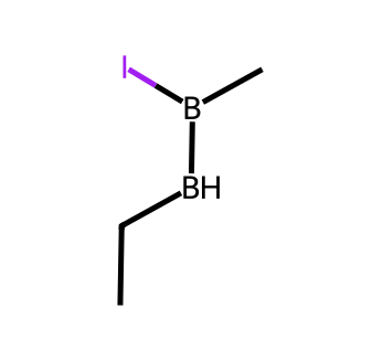 CCBB(C)I